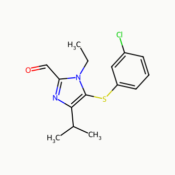 CCn1c(C=O)nc(C(C)C)c1Sc1cccc(Cl)c1